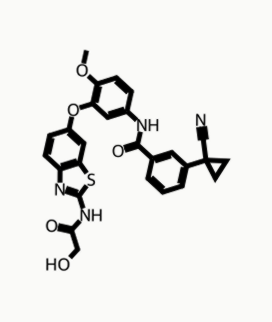 COc1ccc(NC(=O)c2cccc(C3(C#N)CC3)c2)cc1Oc1ccc2nc(NC(=O)CO)sc2c1